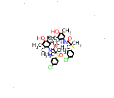 Cc1cc(NC(=O)C(C)(C)Sc2ccc(Cl)cc2)c(C)c(C)c1O.Cc1cc(NC(=O)C(C)(C)[S+]([O-])c2ccc(Cl)cc2)c(C)c(C)c1O